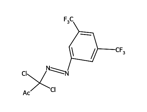 CC(=O)C(Cl)(Cl)N=Nc1cc(C(F)(F)F)cc(C(F)(F)F)c1